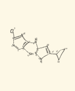 Sc1cnc(Cl)nc1Nc1cc(C2CC2)[nH]n1